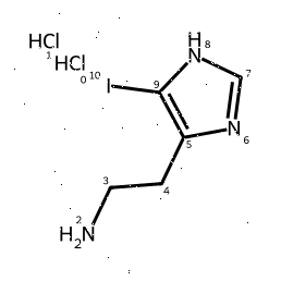 Cl.Cl.NCCc1nc[nH]c1I